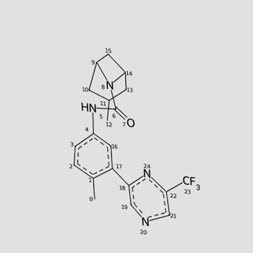 Cc1ccc(NC(=O)N2C3CC(C)CC2C3)cc1-c1cncc(C(F)(F)F)n1